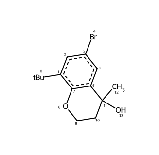 CC(C)(C)c1cc(Br)cc2c1OCCC2(C)O